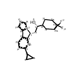 O[C@@H](C[C@@H]1c2nc(C3CC3)ccc2-c2cncn21)C1CCC(F)(F)CC1